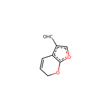 O=Cc1coc2c1C=CCO2